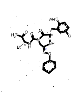 CC[C@@H](NC(=O)N1C/C(=N/Oc2ccccc2)NC[C@@H](Cc2cc(Cl)ccc2OC)C1=O)C(N)=O